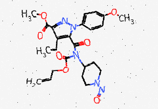 C=CCOC(=O)N(C(=O)c1c(CC)c(C(=O)OC)nn1-c1ccc(OC)cc1)C1CCN(N=O)CC1